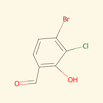 O=Cc1ccc(Br)c(Cl)c1O